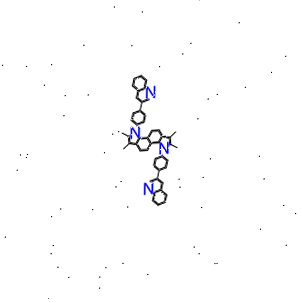 Cc1c(C)n(-c2ccc(-c3cnc4ccccc4c3)cc2)c2c1ccc1c2ccc2c(C)c(C)n(-c3ccc(-c4cnc5ccccc5c4)cc3)c21